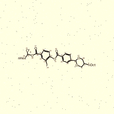 CCCCCCCCC1COC(c2ccc(C(=O)Oc3ccc(C(=O)OC(CCCCCC)C(F)(F)F)cc3F)cc2)OC1